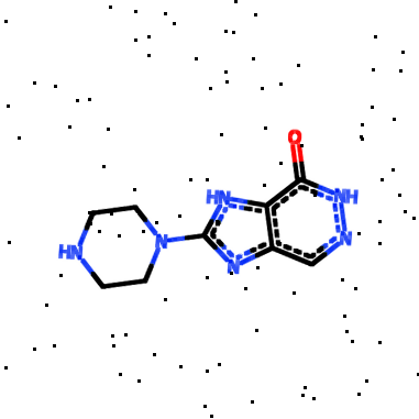 O=c1[nH]ncc2nc(N3CCNCC3)[nH]c12